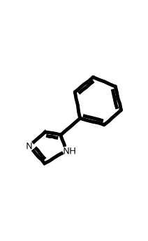 [c]1nc[nH]c1-c1ccccc1